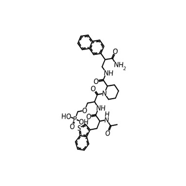 CC(=O)NC(Cc1csc2ccccc12)C(=O)NC(COCP(=O)(O)O)C(=O)N1CCCCC1C(=O)NCC(C(N)=O)c1ccc2ccccc2c1